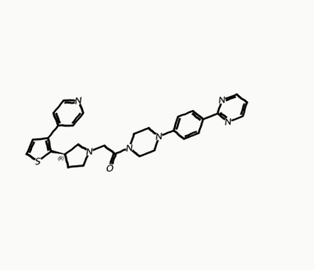 O=C(CN1CC[C@@H](c2sccc2-c2ccncc2)C1)N1CCN(c2ccc(-c3ncccn3)cc2)CC1